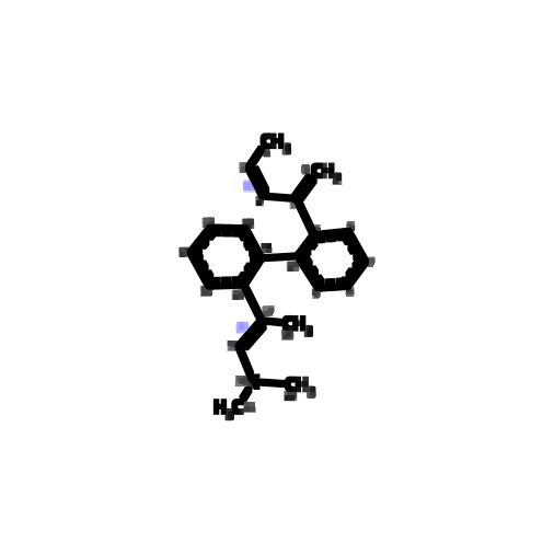 C=C(/C=C\C)c1ccccc1-c1ccccc1/C(C)=C/N(C)C